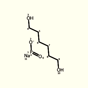 O=P[O-].OCCCCCCO.[Na+]